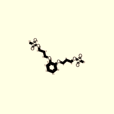 CS(=O)(=O)OCCCOc1ccccc1OCCCOS(C)(=O)=O